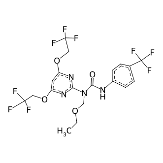 CCOCN(C(=O)Nc1ccc(C(F)(F)F)cc1)c1nc(OCC(F)(F)F)cc(OCC(F)(F)F)n1